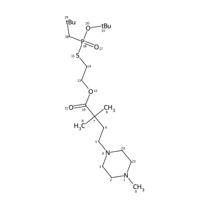 CN1CCN(CCC(C)(C)C(=O)OCCSP(=O)(CC(C)(C)C)OC(C)(C)C)CC1